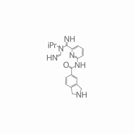 CC(C)N(C=N)C(=N)c1cccc(NC(=O)c2ccc3c(c2)CNC3)n1